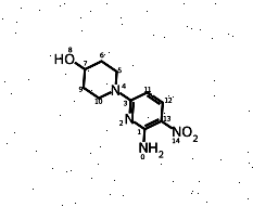 Nc1nc(N2CCC(O)CC2)ccc1[N+](=O)[O-]